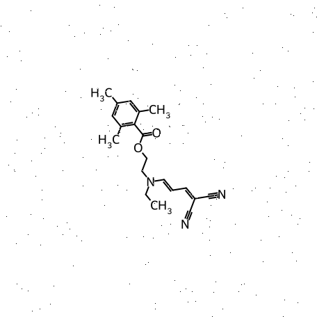 CCN(/C=C/C=C(C#N)C#N)CCOC(=O)c1c(C)cc(C)cc1C